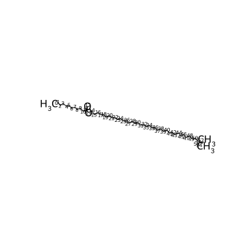 CCCCCCCCCCCC(=O)OCCCCCCCCCCCCCCCCCCCCCCCCCCCCCCCCCCCCCC(C)CC